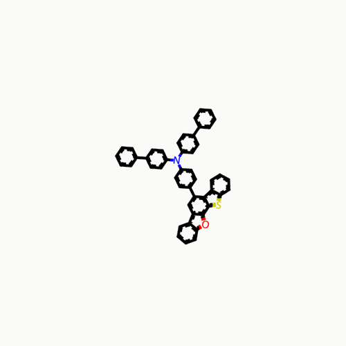 c1ccc(-c2ccc(N(c3ccc(-c4ccccc4)cc3)c3ccc(-c4cc5c6ccccc6oc5c5sc6ccccc6c45)cc3)cc2)cc1